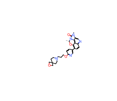 C[C@H]1Oc2c(-c3ccc(OCCCN4CCC5(CC4)COC5)nc3)ccc3ncc4c(c23)n1c(=O)n4C